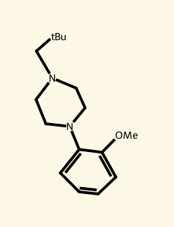 COc1ccccc1N1CCN(CC(C)(C)C)CC1